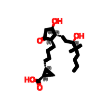 CCCCC(C)(C)[C@@H](O)CC[C@H]1[C@H](O)CC(=O)[C@@H]1CCCC[C@@H]1C[C@H]1C(=O)O